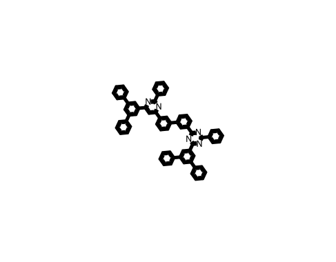 c1ccc(-c2cc(-c3ccccc3)cc(-c3cc(-c4cccc(-c5cccc(-c6nc(-c7ccccc7)nc(-c7cc(-c8ccccc8)cc(-c8ccccc8)c7)n6)c5)c4)nc(-c4ccccc4)n3)c2)cc1